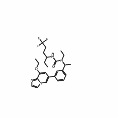 CCOc1cc(-c2cccc(C(C)N(CC)C(=O)NC(CC)CCC(F)(F)F)c2)cn2ccnc12